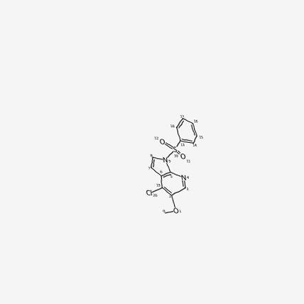 COc1cnc2c(ccn2S(=O)(=O)c2ccccc2)c1Cl